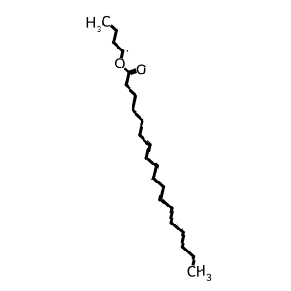 CCC[CH]OC(=O)CCCCCCCCCCCCCCCCC